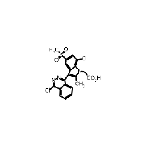 Cc1c(-c2nnc(Cl)c3ccccc23)c2cc(S(C)(=O)=O)cc(Cl)c2n1CC(=O)O